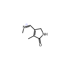 C/N=C\C1=C(C)C(=O)NC1